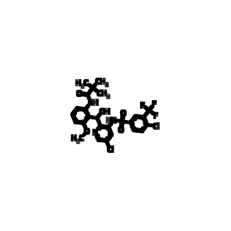 COc1cccc(NC(=O)C(C)(C)C)c1C(O)c1ncc(Cl)cc1NS(=O)(=O)c1ccc(Cl)c(C(F)(F)F)c1